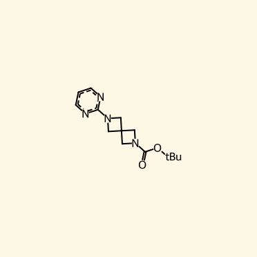 CC(C)(C)OC(=O)N1CC2(C1)CN(c1ncccn1)C2